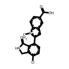 Cn1c(-c2ccc(Cl)c3c2C(=O)NC3)cc2cc(C(=O)O)ccc21